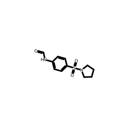 O=[C]Nc1ccc(S(=O)(=O)N2CCCC2)cc1